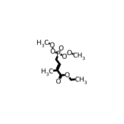 CCOC(=O)C(C)=CCP(=O)(OOC)OOC